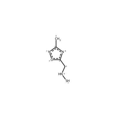 Cc1noc(CNS)n1